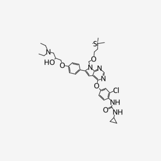 CCN(CC)CC(O)COc1ccc(-c2cc3c(Oc4ccc(NC(=O)NC5CC5)c(Cl)c4)ncnc3n2COCC[Si](C)(C)C)cc1